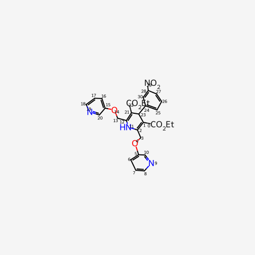 CCOC(=O)C1=C(COc2cccnc2)NC(COc2cccnc2)=C(C(=O)OCC)C1c1cccc([N+](=O)[O-])c1